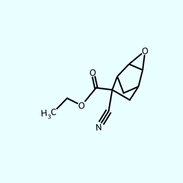 CCOC(=O)C1(C#N)CC2CC1C1OC21